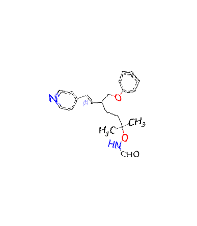 CC(C)(CCC(/C=C/c1ccncc1)COc1ccccc1)ONC=O